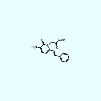 COC(=O)Cn1c(C=Cc2ccccc2)ccc(N)c1=O